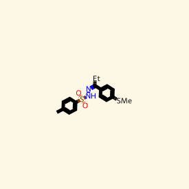 CCC(=NNS(=O)(=O)c1ccc(C)cc1)c1ccc(SC)cc1